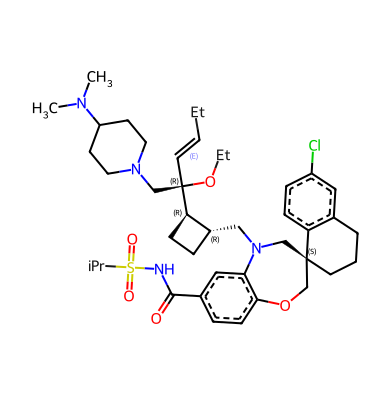 CC/C=C/[C@](CN1CCC(N(C)C)CC1)(OCC)[C@@H]1CC[C@H]1CN1C[C@@]2(CCCc3cc(Cl)ccc32)COc2ccc(C(=O)NS(=O)(=O)C(C)C)cc21